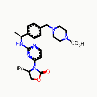 CC(C)C1COC(=O)N1c1ccnc(N[C@@H](C)c2ccc(CN3CCN(C(=O)O)CC3)cc2)n1